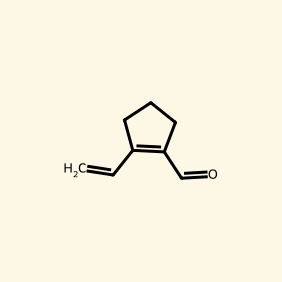 C=CC1=C(C=O)CCC1